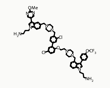 COc1ncc(-c2cn(CCCN)c3ccc(CN4CCN(Cc5ccc(-c6cc(Cl)ccc6OCCN6CCN(Cc7cccc8c7c(-c7ccc(OC(F)(F)F)cc7)cn8CCCN)CC6)cc5Cl)CC4)cc23)cn1